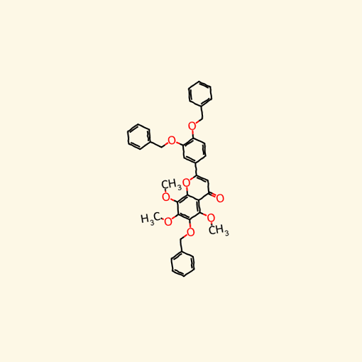 COc1c(OCc2ccccc2)c(OC)c2c(=O)cc(-c3ccc(OCc4ccccc4)c(OCc4ccccc4)c3)oc2c1OC